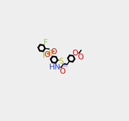 CC(=O)Oc1ccc(/C=C2\Sc3cc(S(=O)(=O)Cc4c(F)cccc4F)ccc3NC2=O)cc1